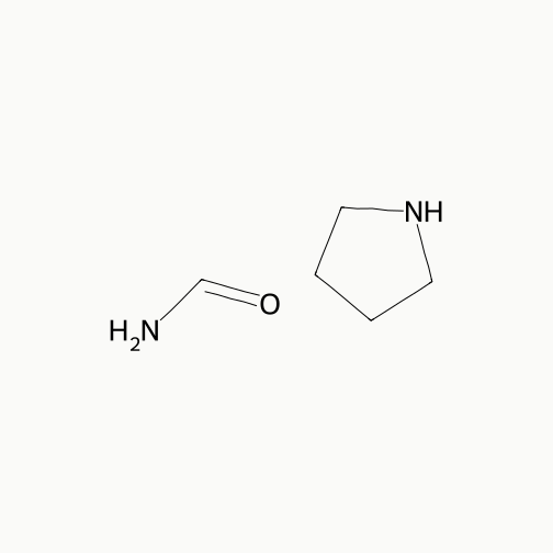 C1CCNC1.NC=O